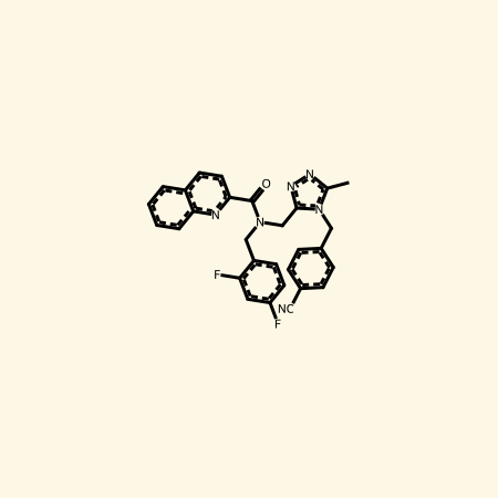 Cc1nnc(CN(Cc2ccc(F)cc2F)C(=O)c2ccc3ccccc3n2)n1Cc1ccc(C#N)cc1